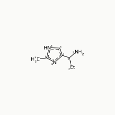 CCC(N)c1c[nH]c(C)n1